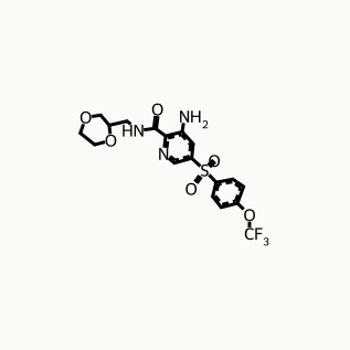 Nc1cc(S(=O)(=O)c2ccc(OC(F)(F)F)cc2)cnc1C(=O)NCC1COCCO1